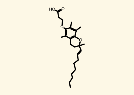 CCCCCCCC=CC1(C)CCc2c(C)c(OCCC(=O)O)c(C)c(C)c2O1